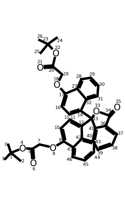 CC(C)(C)OC(=O)COc1ccc(C2(c3ccc(OCC(=O)OC(C)(C)C)c4ccccc34)OC(=O)c3ccccc32)c2ccccc12